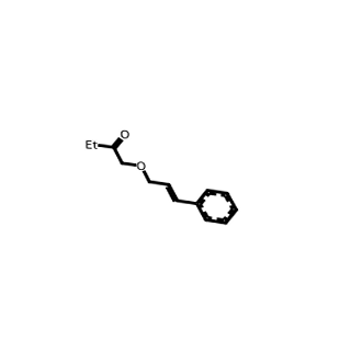 CCC(=O)COC/C=C/c1ccccc1